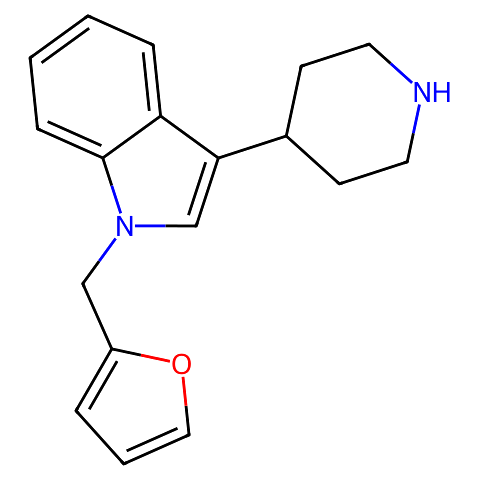 c1coc(Cn2cc(C3CCNCC3)c3ccccc32)c1